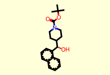 CC(C)(C)OC(=O)N1CCC([C@@H](O)c2cccc3ccccc23)CC1